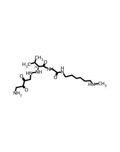 CNCCCCCCNC(=O)CNC(=O)[C@@H](NNCC(=O)C(=O)CN)C(C)C